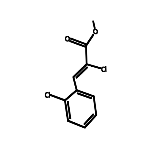 COC(=O)C(Cl)=Cc1ccccc1Cl